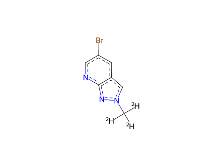 [2H]C([2H])([2H])n1cc2cc(Br)cnc2n1